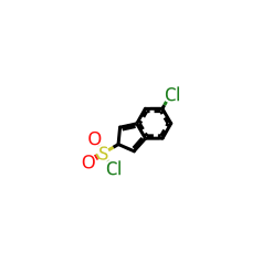 O=S(=O)(Cl)C1C=c2ccc(Cl)cc2=C1